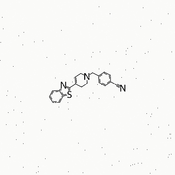 N#Cc1ccc(CN2CC=C(c3nc4ccccc4s3)CC2)cc1